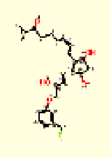 CC(C)C(=O)CCC/C=C\C[C@@H]1[C@@H](/C=C/[C@@H](O)COc2cccc(CF)c2)[C@H](O)C[C@@H]1O